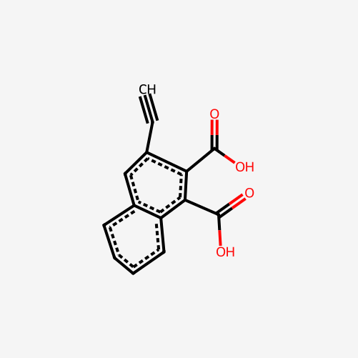 C#Cc1cc2ccccc2c(C(=O)O)c1C(=O)O